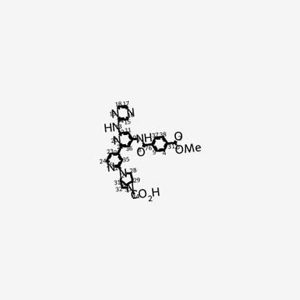 COC(=O)c1ccc(C(=O)Nc2cc(Nc3cnccn3)nc(-c3ccnc(N4CC5CC4CN5C(=O)O)c3)c2)cc1